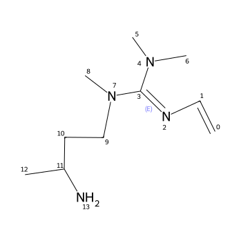 C=C/N=C(\N(C)C)N(C)CCC(C)N